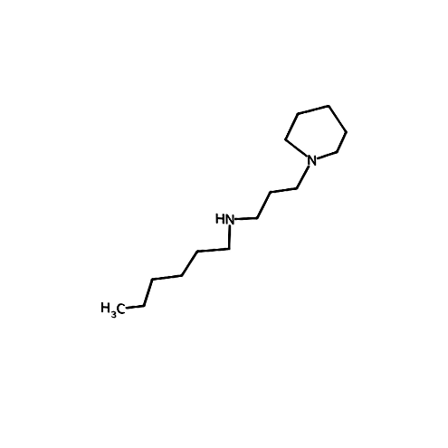 CCCCCCNCCCN1CCCCC1